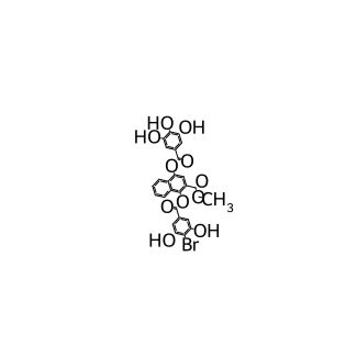 COC(=O)c1cc(OC(=O)c2cc(O)c(O)c(O)c2)c2ccccc2c1OC(=O)c1cc(O)c(Br)c(O)c1